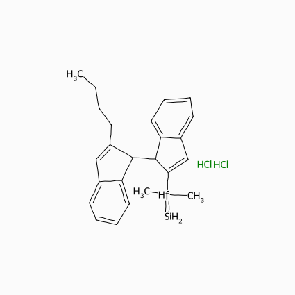 CCCCC1=Cc2ccccc2C1C1[C]([Hf]([CH3])([CH3])=[SiH2])=Cc2ccccc21.Cl.Cl